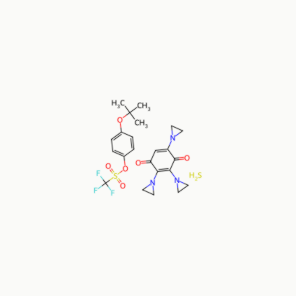 CC(C)(C)Oc1ccc(OS(=O)(=O)C(F)(F)F)cc1.O=C1C=C(N2CC2)C(=O)C(N2CC2)=C1N1CC1.S